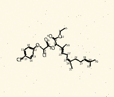 CCOC(=O)C(OC(=O)C(Cl)Oc1ccc(Cl)cc1)C(C)=CCC=C(C)CCC=C(C)C